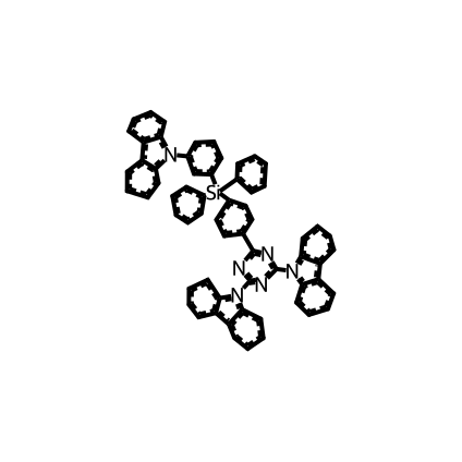 c1ccc([Si](c2ccccc2)(c2ccc(-c3nc(-n4c5ccccc5c5ccccc54)nc(-n4c5ccccc5c5ccccc54)n3)cc2)c2cccc(-n3c4ccccc4c4ccccc43)c2)cc1